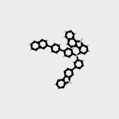 c1cc(-c2ccc3c(c2)oc2ccccc23)cc(N(c2ccc(-c3ccc(-c4ccc5ccccc5c4)cc3)cc2)c2cccc3oc4c5ccccc5ccc4c23)c1